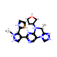 CC[C@@H]1c2nncn2-c2cnc(-c3cnn(C)c3-c3nccs3)nc2N1C1CCOC1